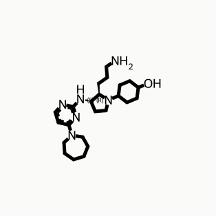 NCCC[C@@H]1[C@@H](Nc2nccc(N3CCCCCC3)n2)CCN1C1CCC(O)CC1